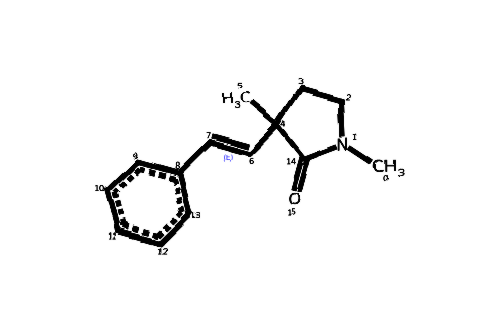 CN1CCC(C)(/C=C/c2ccccc2)C1=O